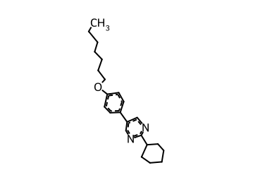 CCCCCCCOc1ccc(-c2cnc(C3CCCCC3)nc2)cc1